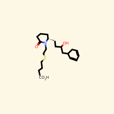 O=C(O)CCCSCCN1C(=O)CCC[C@@H]1CCC(O)CC1C=CC=CC1